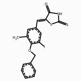 Cc1cc(/C=C2\SC(=S)NC2=O)cc(I)c1OCc1ccccc1